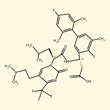 Cc1cc(-c2c(C)cc(F)cc2C)cc([C@H](CC(=O)O)NC(=O)[C@H](CC(C)C)n2cc(CCN(C)C)c(C(F)(F)F)nc2=O)c1F